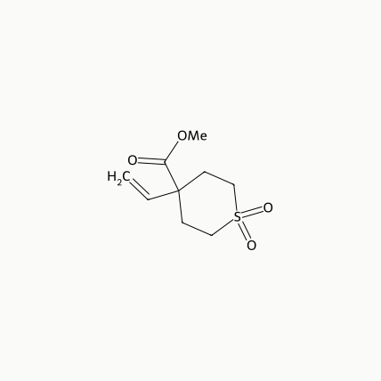 C=CC1(C(=O)OC)CCS(=O)(=O)CC1